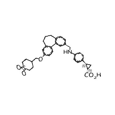 O=C(O)[C@H]1C[C@@H]1c1ccc(NCc2ccc3c(c2)-c2ccc(OCC4CCS(=O)(=O)CC4)cc2CCC3)cc1